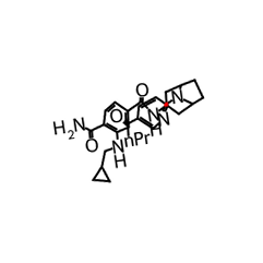 CCCC(=O)c1ccc(N2C3CCC2CC(NC(=O)c2ccc(C(N)=O)c(NCC4CC4)c2)C3)nc1